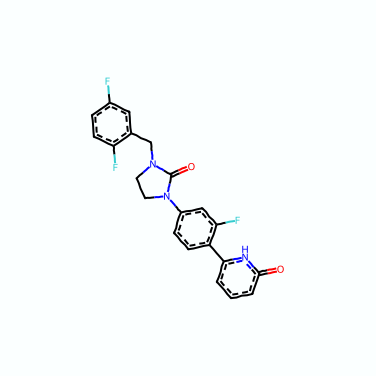 O=C1N(Cc2cc(F)ccc2F)CCN1c1ccc(-c2cccc(=O)[nH]2)c(F)c1